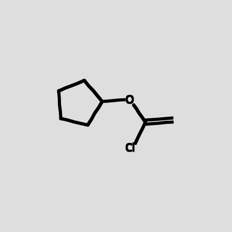 C=C(Cl)OC1CCCC1